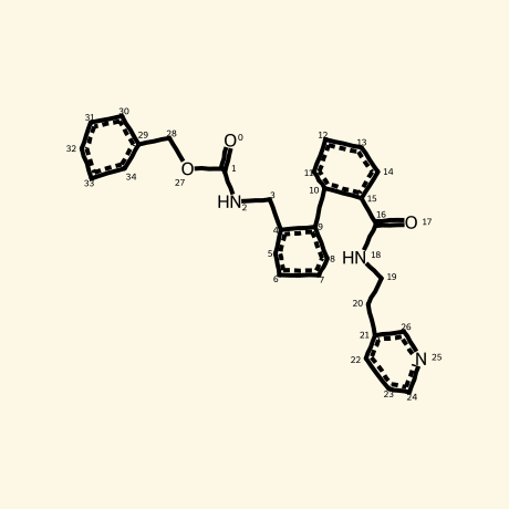 O=C(NCc1ccccc1-c1ccccc1C(=O)NCCc1cccnc1)OCc1ccccc1